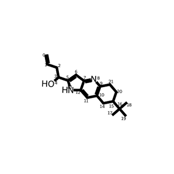 C=CCC(O)c1cc2nc3c(cc2[nH]1)CC(C(C)(C)C)CC3